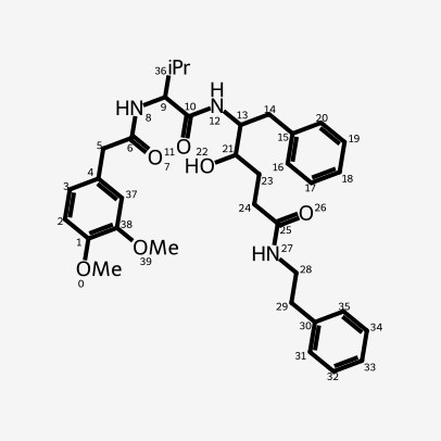 COc1ccc(CC(=O)NC(C(=O)NC(Cc2ccccc2)C(O)CCC(=O)NCCc2ccccc2)C(C)C)cc1OC